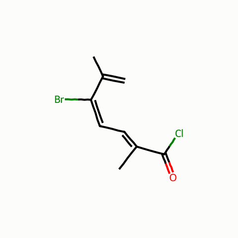 C=C(C)/C(Br)=C\C=C(/C)C(=O)Cl